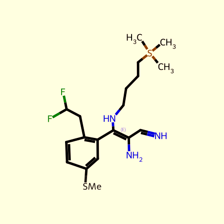 CSc1ccc(CC(F)F)c(/C(NCCCCS(C)(C)C)=C(\N)C=N)c1